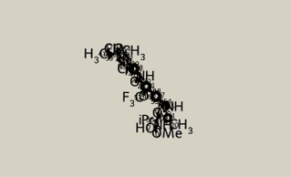 COC(O)N[C@H](C(=O)N1C[C@@H](C)C[C@H]1c1nc(-c2ccc(-c3ccc(C(=O)Nc4ccc(N5C[C@H](C)N(C(=O)[C@H]6CC6(C)C)C[C@H]5C)nc4)cc3OC(F)(F)F)cc2)c[nH]1)C(C)C